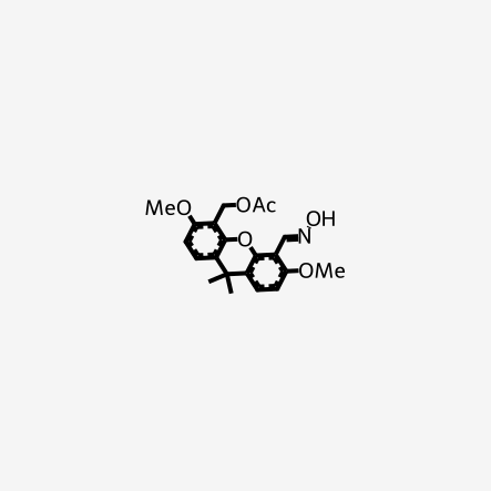 COc1ccc2c(c1C=NO)Oc1c(ccc(OC)c1COC(C)=O)C2(C)C